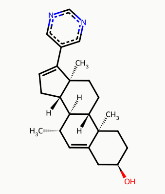 C[C@H]1C=C2C[C@H](O)CC[C@]2(C)[C@H]2CC[C@]3(C)C(c4cncnc4)=CC[C@H]3[C@H]12